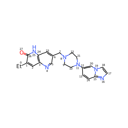 CCc1cc2ncc(CN3CCN(c4ccc5nccn5c4)CC3)cc2[nH]c1=O